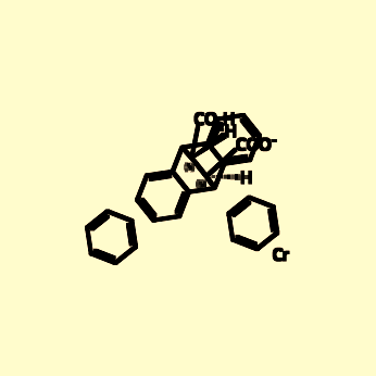 O=C([O-])[C@H]1C2c3ccccc3C(c3ccccc32)[C@@H]1C(=O)O.[Cr].c1ccccc1.c1ccccc1